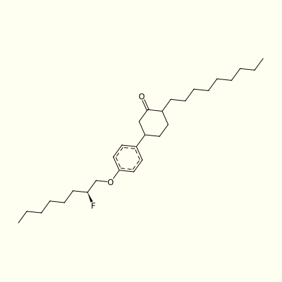 CCCCCCCCCC1CCC(c2ccc(OC[C@@H](F)CCCCCC)cc2)CC1=O